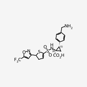 NCc1ccc([C@@H]2C[C@]2(NS(=O)(=O)C2=CCC(c3cc(C(F)(F)F)on3)S2)C(=O)O)cc1